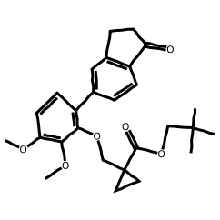 COc1ccc(-c2ccc3c(c2)CCC3=O)c(OCC2(C(=O)OCC(C)(C)C)CC2)c1OC